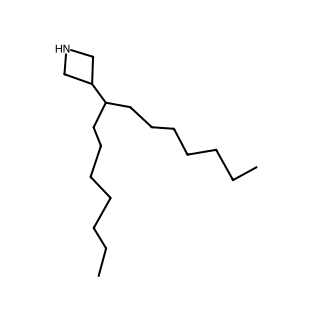 CCCCCCCC(CCCCCCC)C1CNC1